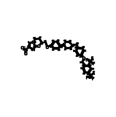 O=[N+]([O-])c1cn2c(n1)O[C@H](COc1ccc(N3CCN(Cc4ccc(OCc5ccc(C(F)(F)F)cc5C(F)(F)F)cc4)CC3)cc1)CC2